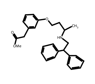 COC(=O)Cc1cccc(OCCC(C)NCC(c2ccccc2)c2ccccc2)c1